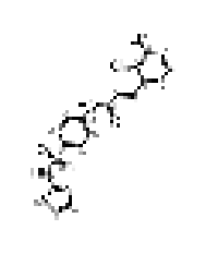 O=C(/C=C/c1cccc(Cl)c1Cl)Nc1ccc(S(=O)(=O)Nc2nccs2)cc1